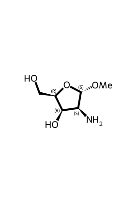 CO[C@H]1O[C@H](CO)[C@H](O)[C@@H]1N